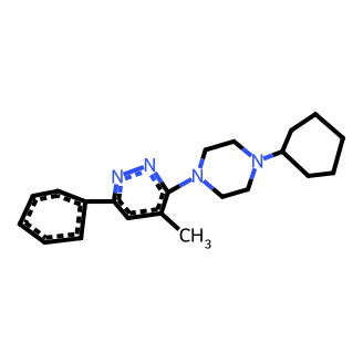 Cc1cc(-c2ccccc2)nnc1N1CCN(C2CCCCC2)CC1